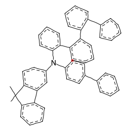 CC1(C)c2ccccc2-c2cc(N(c3ccc(-c4ccccc4)cc3)c3ccccc3-c3ccccc3-c3ccccc3-c3ccccc3)ccc21